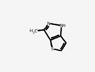 Cc1n[nH]c2ccsc12